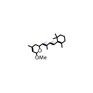 COC1C=C(C)CC(/C=C(C)/C=C/C2=C(C)CCCC2(C)C)O1